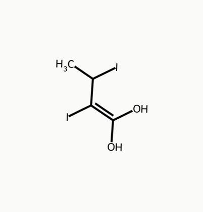 CC(I)C(I)=C(O)O